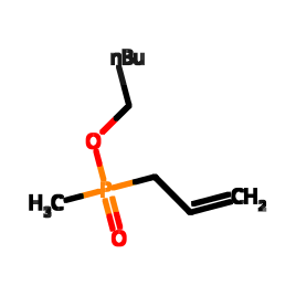 C=CCP(C)(=O)OCCCCC